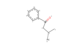 CC(=O)C(C)CC(=O)c1ccccc1